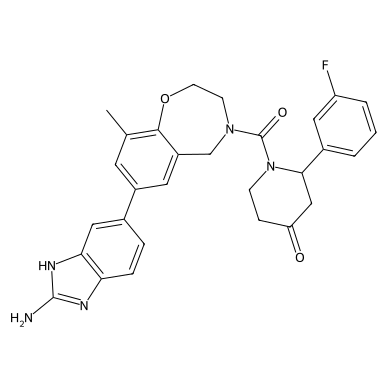 Cc1cc(-c2ccc3nc(N)[nH]c3c2)cc2c1OCCN(C(=O)N1CCC(=O)CC1c1cccc(F)c1)C2